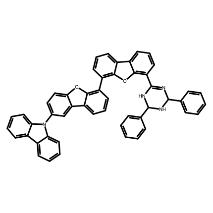 c1ccc(C2N=C(c3cccc4c3oc3c(-c5cccc6c5oc5ccc(-n7c8ccccc8c8ccccc87)cc56)cccc34)NC(c3ccccc3)N2)cc1